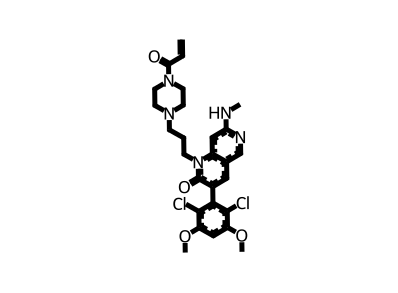 C=CC(=O)N1CCN(CCCn2c(=O)c(-c3c(Cl)c(OC)cc(OC)c3Cl)cc3cnc(NC)cc32)CC1